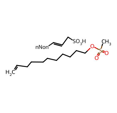 C=CCCCCCCCCCOS(C)(=O)=O.CCCCCCCCCC=CCS(=O)(=O)O